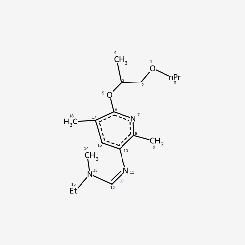 CCCOCC(C)Oc1nc(C)c(/N=C\N(C)CC)cc1C